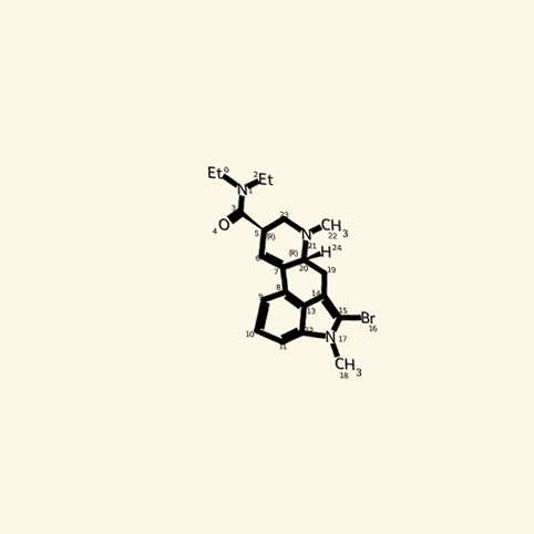 CCN(CC)C(=O)[C@@H]1C=C2c3cccc4c3c(c(Br)n4C)C[C@H]2N(C)C1